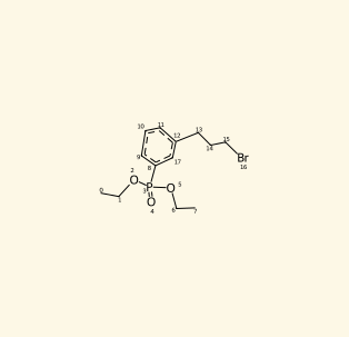 CCOP(=O)(OCC)c1cccc(CCCBr)c1